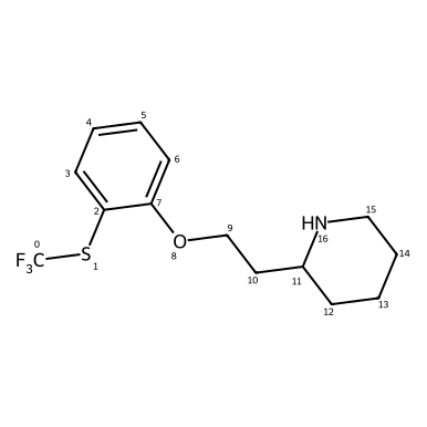 FC(F)(F)Sc1ccccc1OCCC1CCCCN1